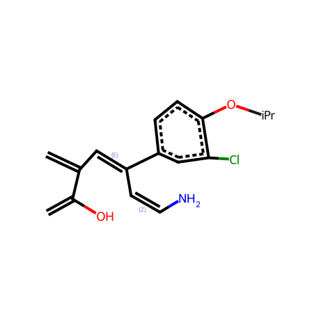 C=C(O)C(=C)/C=C(\C=C/N)c1ccc(OC(C)C)c(Cl)c1